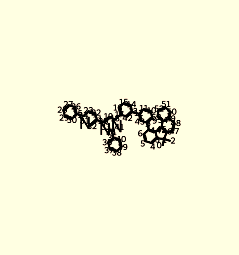 CC1(C)c2cccc(-c3cccc(-c4cccc(-c5cc(-c6ccc(-c7ccccc7)nc6)nc(-c6ccccc6)n5)c4)c3)c2-c2c1ccc1ccccc21